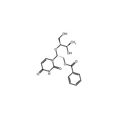 C[C@@H](O)[C@H](CO)O[C@H](COC(=O)c1ccccc1)n1ccc(=O)[nH]c1=O